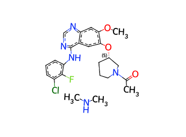 CNC.COc1cc2ncnc(Nc3cccc(Cl)c3F)c2cc1O[C@H]1CCCN(C(C)=O)C1